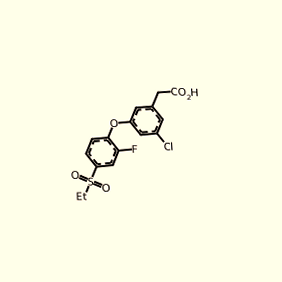 CCS(=O)(=O)c1ccc(Oc2cc(Cl)cc(CC(=O)O)c2)c(F)c1